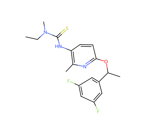 CCN(C)C(=S)Nc1ccc(OC(C)c2cc(F)cc(F)c2)nc1C